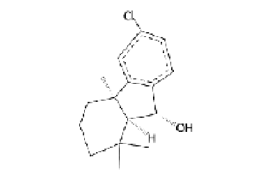 CC1(C)CCC[C@@]2(C)c3cc(Cl)ccc3[C@H](O)[C@@H]12